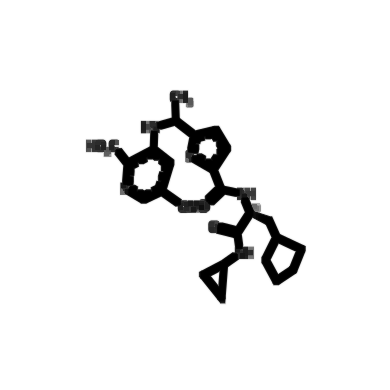 COc1cnc(C(=O)O)c(NC(C)c2ccc(C(=O)N[C@@H](CC3CCCC3)C(=O)NC3CC3)s2)c1